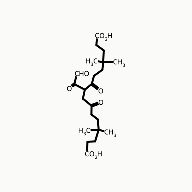 CC(C)(CCC(=O)O)CCC(=O)CC(C(=O)C=O)C(=O)CCC(C)(C)CCC(=O)O